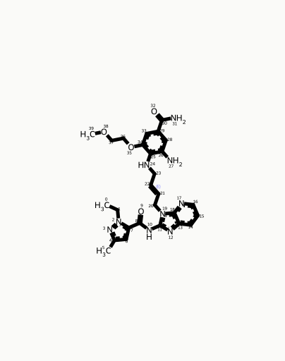 CCn1nc(C)cc1C(=O)Nc1nc2cccnc2n1C/C=C/CNc1c(N)cc(C(N)=O)cc1OCCOC